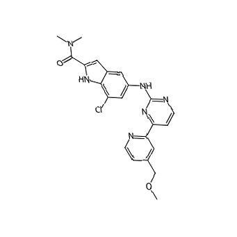 COCc1ccnc(-c2ccnc(Nc3cc(Cl)c4[nH]c(C(=O)N(C)C)cc4c3)n2)c1